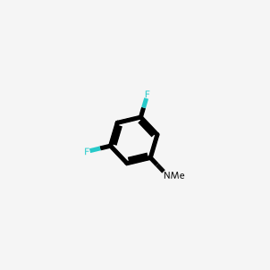 CNc1cc(F)cc(F)c1